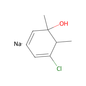 CC1C(Cl)=CC=CC1(C)O.[Na]